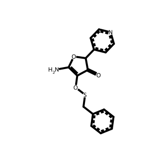 NC1=C(OSCc2ccccc2)C(=O)C(c2ccncc2)O1